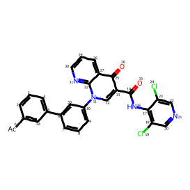 CC(=O)c1cccc(-c2cccc(-n3cc(C(=O)Nc4c(Cl)cncc4Cl)c(=O)c4cccnc43)c2)c1